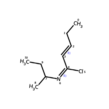 CC/C=C/C(Cl)=N\C(C)CC